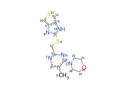 Cc1cnc(CSc2nc3cscc3[nH]2)nc1N1CCOCC1